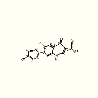 O=C(O)c1c[nH]c2cc(-c3ccc(Cl)cc3)c(F)cc2c1=O